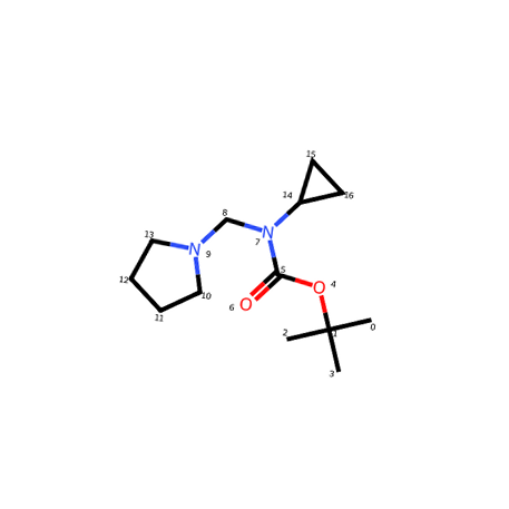 CC(C)(C)OC(=O)N(CN1CCCC1)C1CC1